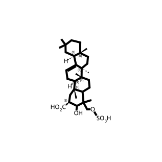 CC1(C)CC[C@]2(C)CC[C@]3(C)C(=CC[C@@H]4[C@@]5(C)C[C@H](C(=O)O)C(O)C(C)(COS(=O)(=O)O)C5CC[C@]43C)[C@H]2C1